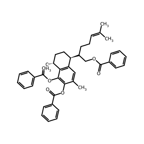 CC(C)=CCCC(COC(=O)c1ccccc1)[C@@H]1CC[C@@H](C)c2c1cc(C)c(OC(=O)c1ccccc1)c2OC(=O)c1ccccc1